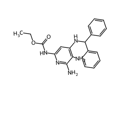 CCOC(=O)Nc1cc(NC(c2ccccc2)c2ccccc2)c(N)c(N)n1